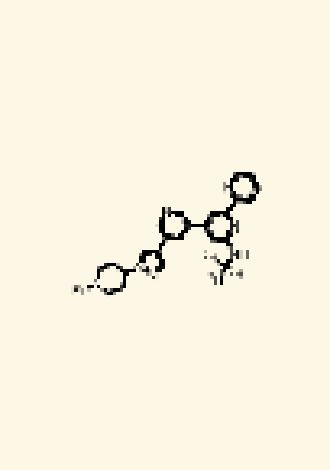 [2H]C([2H])([2H])Nc1cc(-c2cncc(-c3cnn(C4CCN(C(C)C)CC4)c3)c2)cc(-c2ccccn2)n1